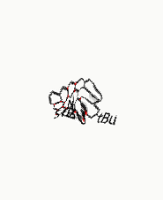 CC(C)(C)c1cc(-c2cccc3cccc(-c4ccccc4N(c4ccccc4-c4cccc5ccccc45)c4ccccc4-c4cccc5sc6ccccc6c45)c23)cc(C(C)(C)C)c1